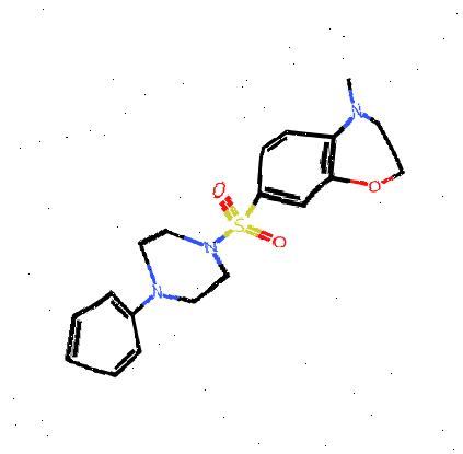 CN1CCOc2cc(S(=O)(=O)N3CCN(c4ccccc4)CC3)ccc21